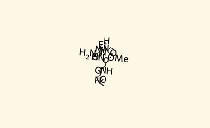 C=CC(=O)N(C)CCC(=O)NCCc1cc(Nc2nc(NC3CCOCC3)c(CC)nc2C(N)=O)cc(OC)c1